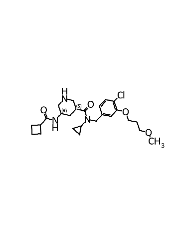 COCCCOc1cc(CN(C(=O)[C@@H]2CNC[C@H](NC(=O)C3CCC3)C2)C2CC2)ccc1Cl